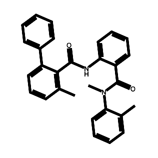 Cc1ccccc1N(C)C(=O)c1ccccc1NC(=O)c1c(C)cccc1-c1ccccc1